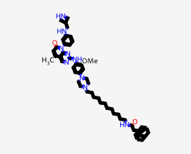 COc1cc(N2CCN(CCCCCCCCCCCCNC(=O)CC34CC5CC(CC(C5)C3)C4)CC2)ccc1Nc1ncc2c(C)cc(=O)n(-c3cccc(NCC4CNC4)c3)c2n1